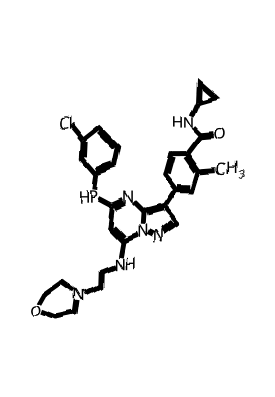 Cc1cc(-c2cnn3c(NCCN4CCOCC4)cc(Pc4cccc(Cl)c4)nc23)ccc1C(=O)NC1CC1